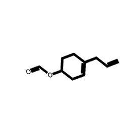 C=CCC1=CCC(OC=O)CC1